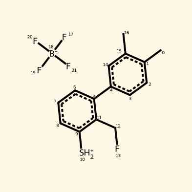 Cc1ccc(-c2cccc([SH2+])c2CF)cc1C.F[B-](F)(F)F